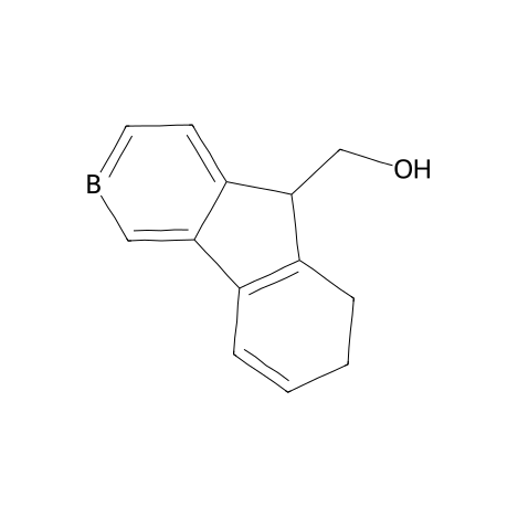 OCC1C2=C(C=CCC2)c2cbccc21